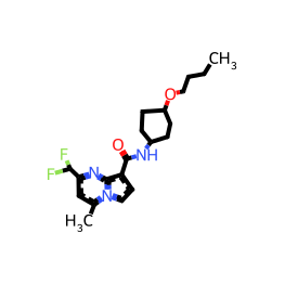 CCCCOC1CCC(NC(=O)c2ccn3c(C)cc(C(F)F)nc23)CC1